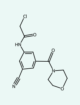 N#Cc1cc(NC(=O)CCl)cc(C(=O)N2CCOCC2)c1